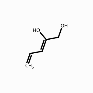 C=CC=C(O)CO